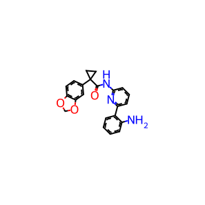 Nc1ccccc1-c1cccc(NC(=O)C2(c3ccc4c(c3)OCO4)CC2)n1